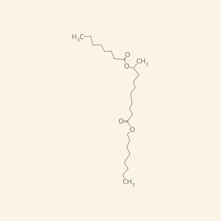 CCCCCCCCOC(=O)CCCCCCCC(C)OC(=O)CCCCCCC